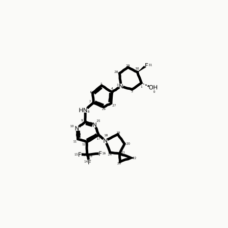 O[C@@H]1CN(c2ccc(Nc3ncc(C(F)(F)F)c(N4CCC5(CC5)C4)n3)cc2)CC[C@H]1F